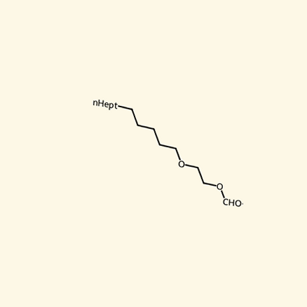 CCCCCCCCCCCCOCCO[C]=O